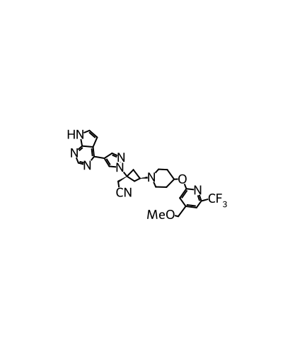 COCc1cc(OC2CCN([C@H]3C[C@](CC#N)(n4cc(-c5ncnc6[nH]ccc56)cn4)C3)CC2)nc(C(F)(F)F)c1